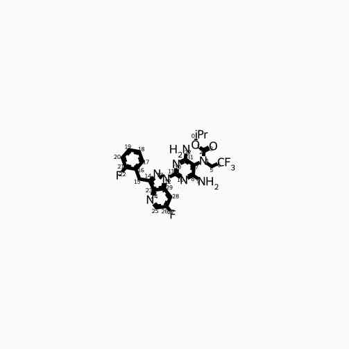 CC(C)OC(=O)N(CC(F)(F)F)c1c(N)nc(-n2nc(Cc3ccccc3F)c3ncc(F)cc32)nc1N